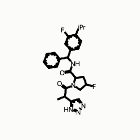 CC(C)c1ccc(C(NC(=O)C2CC(F)CN2C(=O)C(C)c2cnn[nH]2)c2ccccc2)cc1F